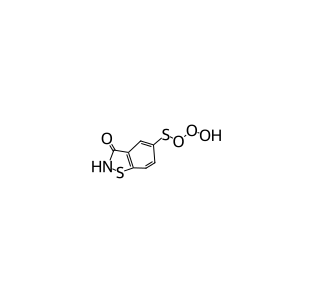 O=c1[nH]sc2ccc(SOOO)cc12